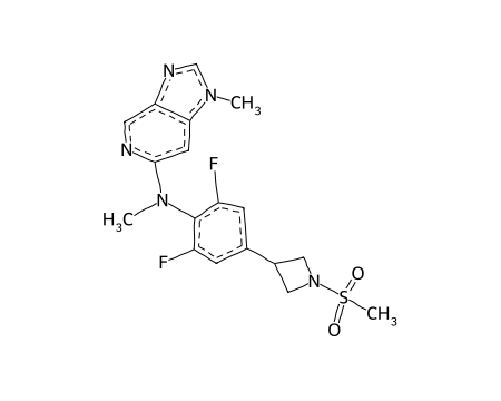 CN(c1cc2c(cn1)ncn2C)c1c(F)cc(C2CN(S(C)(=O)=O)C2)cc1F